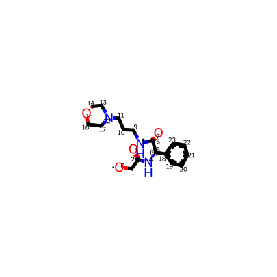 [O]CC(=O)N[C@@H](C(=O)NCCCN1CCOCC1)c1ccccc1